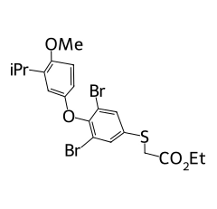 CCOC(=O)CSc1cc(Br)c(Oc2ccc(OC)c(C(C)C)c2)c(Br)c1